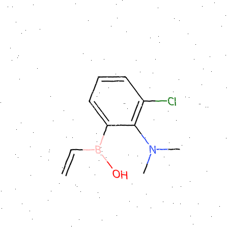 C=CB(O)c1cccc(Cl)c1N(C)C